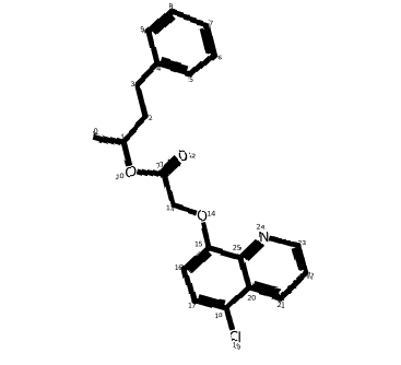 CC(CCc1ccccc1)OC(=O)COc1ccc(Cl)c2cccnc12